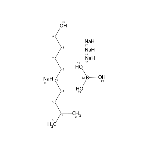 CC(C)CCCCCCCO.OB(O)O.[NaH].[NaH].[NaH].[NaH]